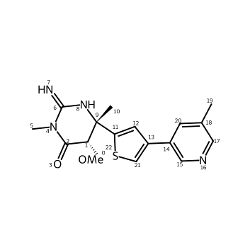 CO[C@@H]1C(=O)N(C)C(=N)N[C@]1(C)c1cc(-c2cncc(C)c2)cs1